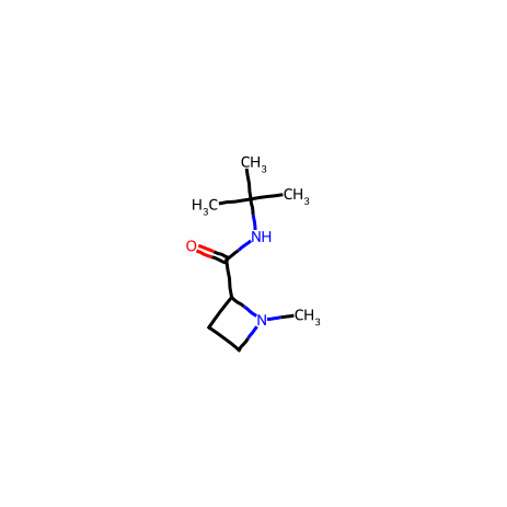 CN1CCC1C(=O)NC(C)(C)C